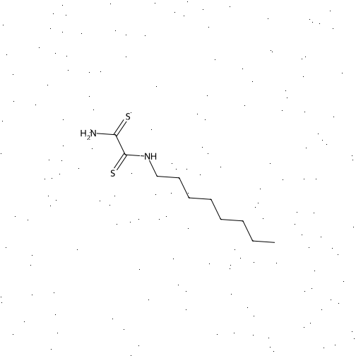 CCCCCCCCNC(=S)C(N)=S